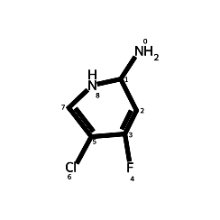 NC1C=C(F)C(Cl)=CN1